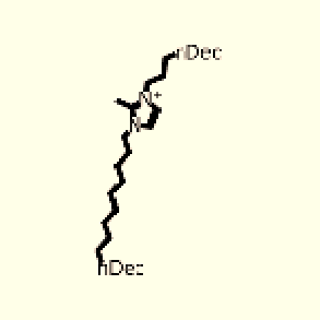 CCCCCCCCCCCCCCCCCCCn1cc[n+](CCCCCCCCCCCCC)c1C